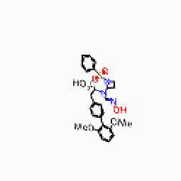 COc1cccc(OC)c1-c1ccc(C[C@@H](C(=O)O)N(C=NO)C2CCN2S(=O)(=O)c2ccccc2)cc1